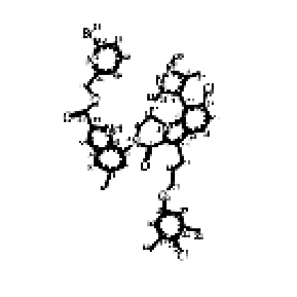 Cc1cc(N2C[C@@H](C)n3c(c(CCCOc4cc(C)c(Cl)c(C)c4)c4ccc(Cl)c(-c5c(C)nn(C)c5C)c43)C2=O)c2[nH]c(C(=O)OCc3cccc(Br)n3)cc2c1